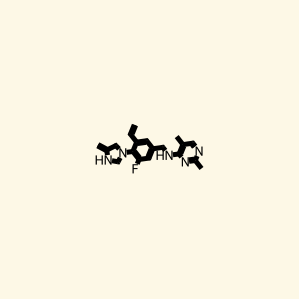 C=Cc1cc(CNc2nc(C)ncc2C)cc(F)c1N1CNC(=C)C1